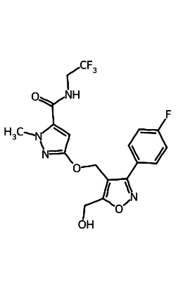 Cn1nc(OCc2c(-c3ccc(F)cc3)noc2CO)cc1C(=O)NCC(F)(F)F